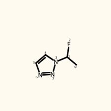 CC(F)n1ccnn1